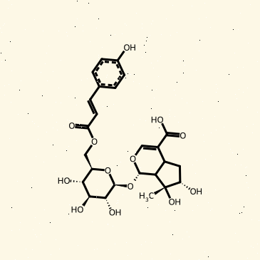 C[C@@]1(O)C2C(C[C@@H]1O)C(C(=O)O)=CO[C@H]2O[C@@H]1O[C@H](COC(=O)/C=C/c2ccc(O)cc2)[C@@H](O)[C@H](O)[C@H]1O